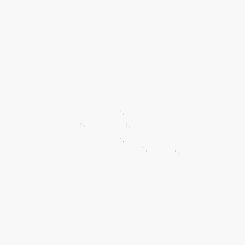 CCOC(=O)c1cnn(C2CCCN(c3cc(Cl)ccc3-c3ccc(N4CCN(CC(F)(F)F)CC4)nc3)C2)c1C(F)F